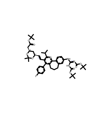 CC(C)c1nc2c(c(-c3ccc(F)cc3)c1/C=C/[C@@H]1C[C@H](CC(=O)OC(C)(C)C)OC(C)(C)O1)CCCc1cc(N/C(=N/C(=O)OC(C)(C)C)NC(=O)OC(C)(C)C)ccc1-2